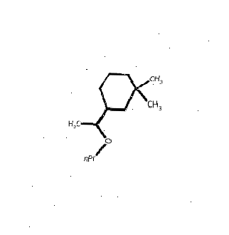 CCCOC(C)C1CCCC(C)(C)C1